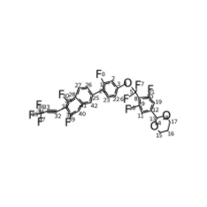 Fc1cc(OC(F)(F)c2c(F)cc(C3OCCCO3)cc2F)ccc1-c1ccc2c(F)c(C#CC(F)(F)F)c(F)cc2c1